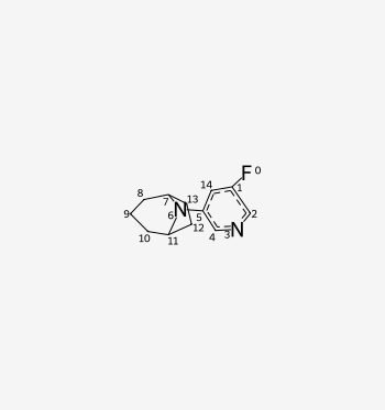 Fc1cncc(N2C3CCCC2CC3)c1